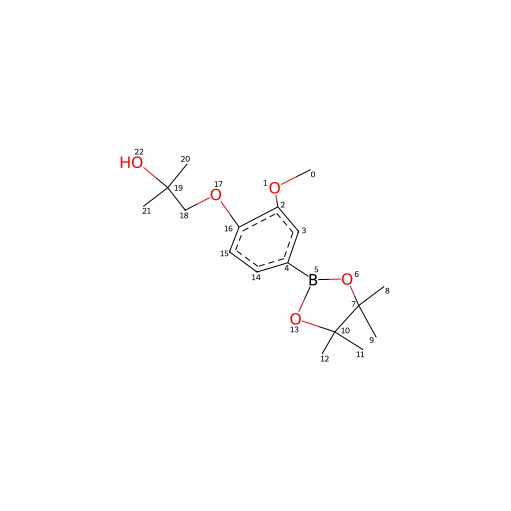 COc1cc(B2OC(C)(C)C(C)(C)O2)ccc1OCC(C)(C)O